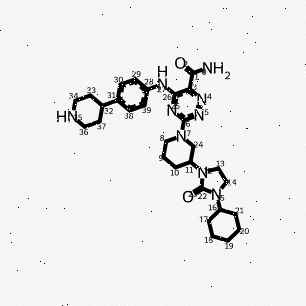 NC(=O)c1nnc(N2CCCC(N3CCN(C4CCCCC4)C3=O)C2)nc1Nc1ccc(C2CCNCC2)cc1